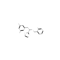 Fc1ccccc1CNC(Cc1cc(Cl)cc(Cl)c1)c1ncc[nH]1